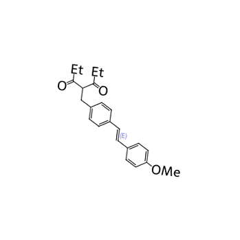 CCC(=O)C(Cc1ccc(/C=C/c2ccc(OC)cc2)cc1)C(=O)CC